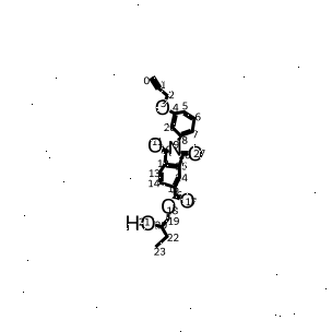 C#CCOc1cccc(N2C(=O)c3ccc(C(=O)OCC(O)CC)cc3C2=O)c1